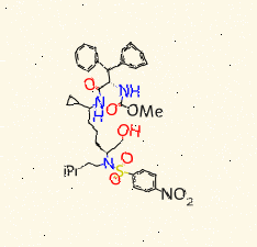 COC(=O)N[C@H](C(=O)NC(CCC[C@@H](CO)N(CCC(C)C)S(=O)(=O)c1ccc([N+](=O)[O-])cc1)C1CC1)C(c1ccccc1)c1ccccc1